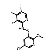 COc1ncc(Cl)cc1SNc1ncc(F)c(C)c1F